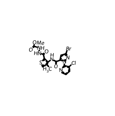 COC(=O)NNC(=O)c1scc(C)c1NC(=O)c1cc(Br)nn1-c1ncccc1Cl